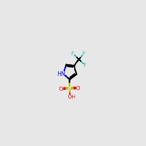 O=S(=O)(O)c1cc(C(F)(F)F)c[nH]1